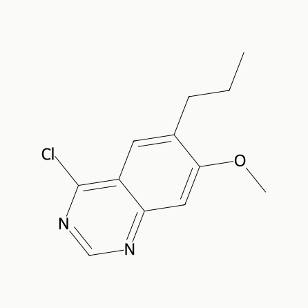 CCCc1cc2c(Cl)ncnc2cc1OC